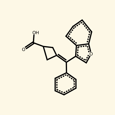 O=C(O)C1CC(=C(c2ccccc2)c2coc3ccccc23)C1